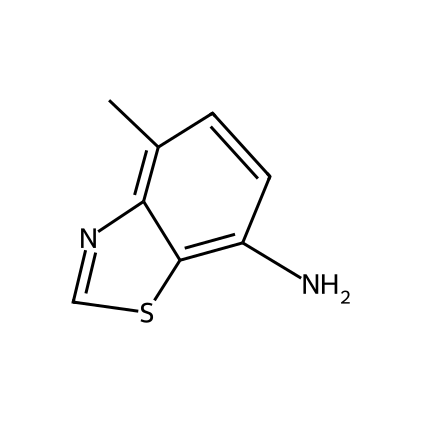 Cc1ccc(N)c2scnc12